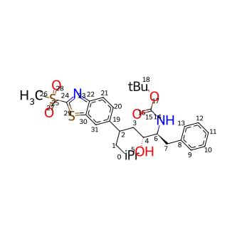 CC(C)CC(C[C@@H](O)[C@H](Cc1ccccc1)NC(=O)OC(C)(C)C)c1ccc2nc(S(C)(=O)=O)sc2c1